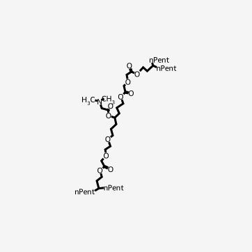 CCCCCC(CCCCC)CCOC(=O)COCCOCCCC(CCCOC(=O)COCC(=O)OCCC(CCCCC)CCCCC)OC(=O)CN(C)C